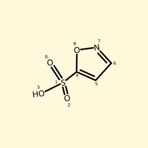 O=S(=O)(O)c1ccno1